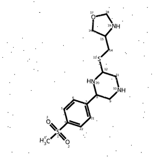 CS(=O)(=O)c1ccc(C2CNCC(SCC3COCN3)N2)cc1